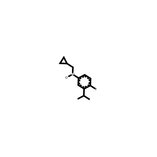 CC(C)c1cc([S+]([O-])CC2CC2)ccc1F